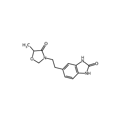 CC1OCN(CCc2ccc3[nH]c(=O)[nH]c3c2)C1=O